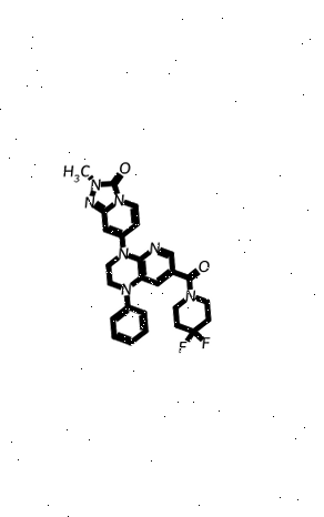 Cn1nc2cc(N3CCN(c4ccccc4)c4cc(C(=O)N5CCC(F)(F)CC5)cnc43)ccn2c1=O